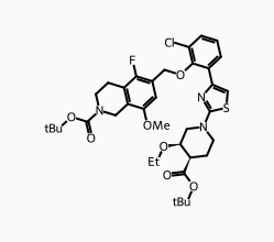 CCO[C@H]1CN(c2nc(-c3cccc(Cl)c3OCc3cc(OC)c4c(c3F)CCN(C(=O)OC(C)(C)C)C4)cs2)CC[C@H]1C(=O)OC(C)(C)C